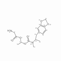 CC(OC(=O)CN)OC(=O)N(C)C(C)Cc1ccc2c(c1)OCO2